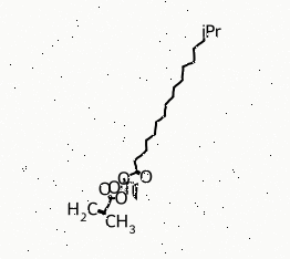 C=C(C)C(=O)[O][Ti]1(=[O])([O]C(=O)CCCCCCCCCCCCCCC(C)C)[CH2][CH2]1